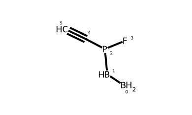 BBP(F)C#C